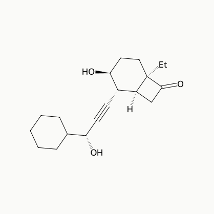 CC[C@@]12CC[C@H](O)[C@@H](C#C[C@H](O)C3CCCCC3)[C@@H]1CC2=O